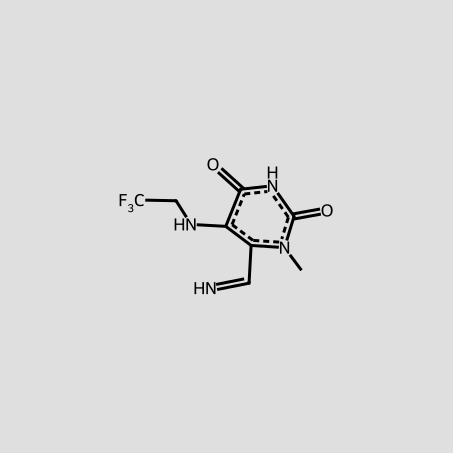 Cn1c(C=N)c(NCC(F)(F)F)c(=O)[nH]c1=O